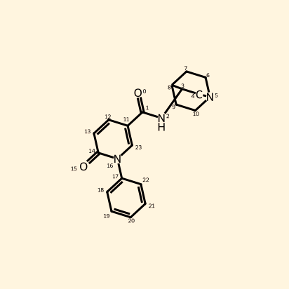 O=C(NC1CN2CCC1CC2)c1ccc(=O)n(-c2ccccc2)c1